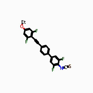 CCOc1cc(F)c(C#Cc2ccc(-c3cc(F)c(N=C=S)c(F)c3)cc2)c(F)c1